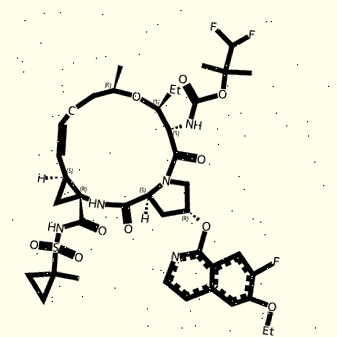 CCOc1cc2ccnc(O[C@@H]3C[C@H]4C(=O)N[C@]5(C(=O)NS(=O)(=O)C6(C)CC6)C[C@H]5C=CCC[C@@H](C)O[C@@H](CC)[C@H](NC(=O)OC(C)(C)C(F)F)C(=O)N4C3)c2cc1F